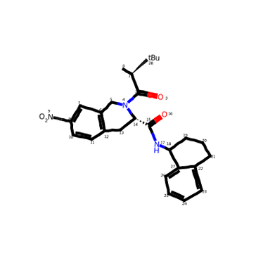 C[C@H](C(=O)N1Cc2cc([N+](=O)[O-])ccc2C[C@H]1C(=O)NC1CCCc2ccccc21)C(C)(C)C